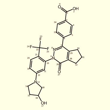 O=C(O)c1ccc(-c2nn(-c3cc(N4CCC(O)C4)ccc3C(F)(F)F)c(=O)c3c2CCC3)cc1